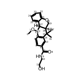 CON1c2ccc(C(=O)NCCO)cc2C(C)(C)[C@H]2COc3ccccc3[C@H]21